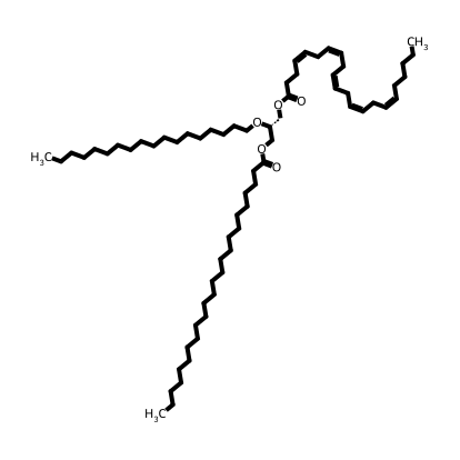 CCCCC/C=C\C/C=C\C/C=C\C/C=C\C/C=C\CCC(=O)OC[C@H](COC(=O)CCCCCCCCCCCCCCCCCCCCCCC)OCCCCCCCCCCCCCCCCCC